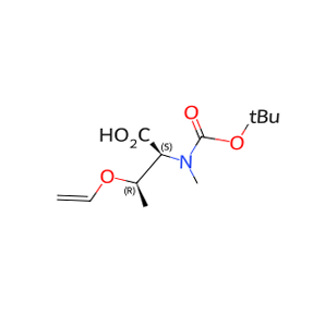 C=CO[C@H](C)[C@@H](C(=O)O)N(C)C(=O)OC(C)(C)C